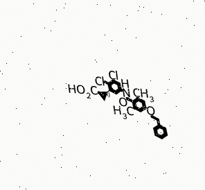 Cc1cc(OCCc2ccccc2)cc(C)c1C(=O)Nc1cc(Cl)c(Cl)c([C@@H]2CC2C(=O)O)c1